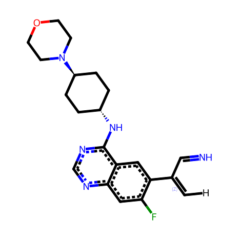 [H]/C=C(\C=N)c1cc2c(N[C@H]3CC[C@H](N4CCOCC4)CC3)ncnc2cc1F